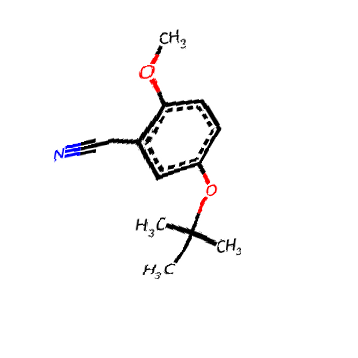 COc1ccc(OC(C)(C)C)cc1C#N